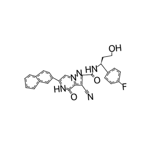 N#Cc1c(C(=O)N[C@@H](CCO)c2ccc(F)cc2)nn2cc(-c3ccc4ccccc4c3)[nH]c(=O)c12